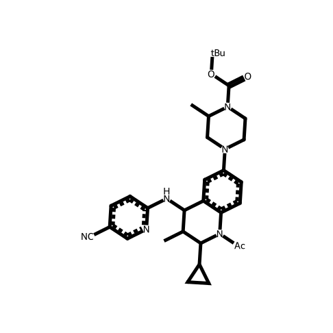 CC(=O)N1c2ccc(N3CCN(C(=O)OC(C)(C)C)C(C)C3)cc2C(Nc2ccc(C#N)cn2)C(C)C1C1CC1